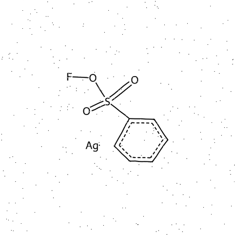 O=S(=O)(OF)c1ccccc1.[Ag]